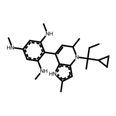 [CH2]CC(C)(C1CC1)N1c2cc(C)[nH]c2C(c2c(NC)cc(NC)cc2NC)=CC1C